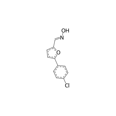 ON=Cc1ccc(-c2ccc(Cl)cc2)o1